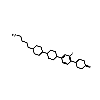 CCCCCC1CCC(C2CCC(c3ccc(C4CCC(=O)CC4)c(F)c3)CC2)CC1